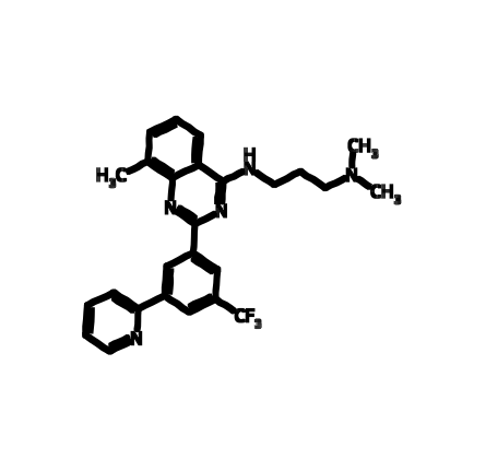 Cc1cccc2c(NCCCN(C)C)nc(-c3cc(-c4ccccn4)cc(C(F)(F)F)c3)nc12